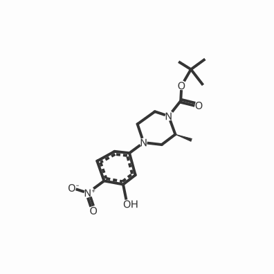 C[C@H]1CN(c2ccc([N+](=O)[O-])c(O)c2)CCN1C(=O)OC(C)(C)C